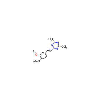 CCOc1cc(/C=C/c2nc(C(Cl)(Cl)Cl)nc(C(Cl)(Cl)Cl)n2)ccc1OC